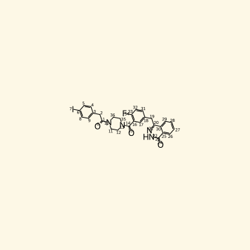 O=C(Cc1ccc(I)cc1)N1CCN(C(=O)c2cc(Cc3n[nH]c(=O)c4ccccc34)ccc2F)CC1